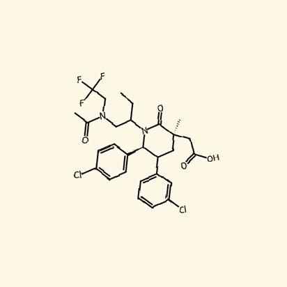 CCC(CN(CC(F)(F)F)C(C)=O)N1C(=O)[C@@](C)(CC(=O)O)CC(c2cccc(Cl)c2)[C@H]1c1ccc(Cl)cc1